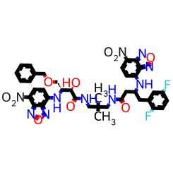 CC(C)(CNC(=O)CC(Cc1cc(F)ccc1F)Nc1ccc([N+](=O)[O-])c2nonc12)CNC(=O)[C@@H](O)[C@@H](COCc1ccccc1)Nc1ccc([N+](=O)[O-])c2nonc12